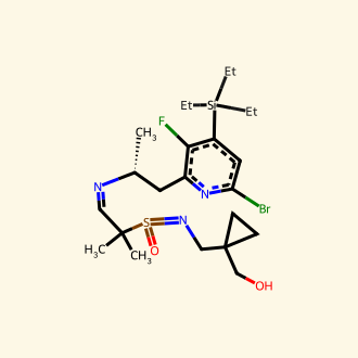 CC[Si](CC)(CC)c1cc(Br)nc(C2[C@@H](C)N=CC(C)(C)[S@@]2(=O)=NCC2(CO)CC2)c1F